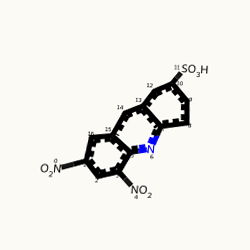 O=[N+]([O-])c1cc([N+](=O)[O-])c2nc3ccc(S(=O)(=O)O)cc3cc2c1